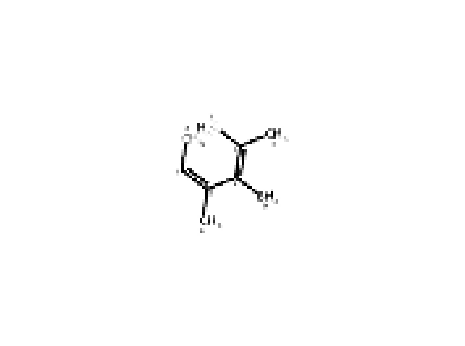 BC(=C(C)C)/C(C)=C\C